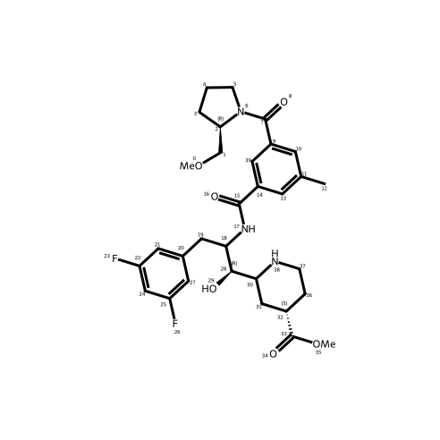 COC[C@H]1CCCN1C(=O)c1cc(C)cc(C(=O)NC(Cc2cc(F)cc(F)c2)[C@H](O)C2C[C@@H](C(=O)OC)CCN2)c1